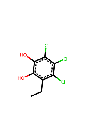 CCc1c(O)c(O)c(Cl)c(Cl)c1Cl